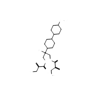 C=C(CO)C(=O)OCC(CC)(COC(=O)C(=C)CO)C1CCC(C2CCC(CCCCC)CC2)CC1